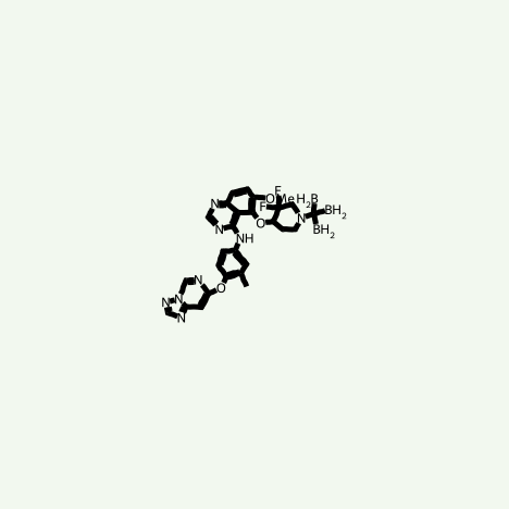 BC(B)(B)N1CCC(Oc2c(OC)ccc3ncnc(Nc4ccc(Oc5cc6ncnn6cn5)c(C)c4)c23)C(F)(F)C1